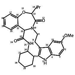 COc1ccc2[nH]cc(CCN3C(=O)C(C(C)C)Oc4ccccc4C3C(=O)NC3CCCCC3)c2c1